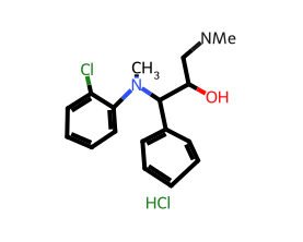 CNCC(O)C(c1ccccc1)N(C)c1ccccc1Cl.Cl